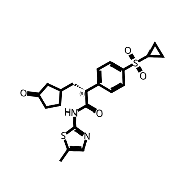 Cc1cnc(NC(=O)[C@H](CC2CCC(=O)C2)c2ccc(S(=O)(=O)C3CC3)cc2)s1